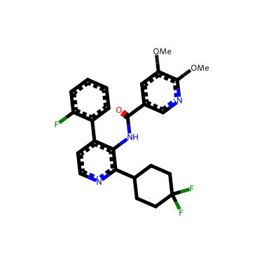 COc1cc(C(=O)Nc2c(-c3ccccc3F)ccnc2C2CCC(F)(F)CC2)cnc1OC